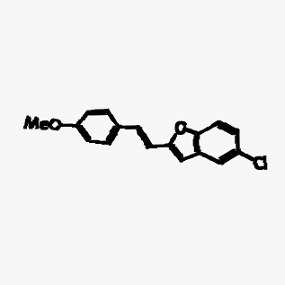 COc1ccc(C=Cc2cc3cc(Cl)ccc3o2)cc1